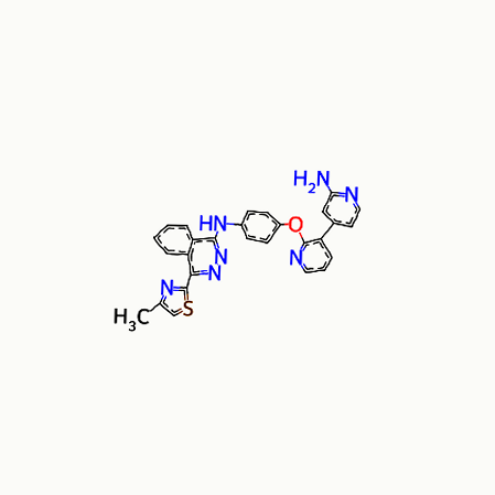 Cc1csc(-c2nnc(Nc3ccc(Oc4ncccc4-c4ccnc(N)c4)cc3)c3ccccc23)n1